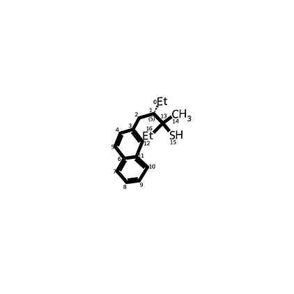 CC[C@@H](Cc1ccc2ccccc2c1)C(C)(S)CC